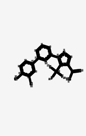 O=C(O)c1cnn(-c2cccc(-c3ccc(Cl)c(Cl)c3)n2)c1C(F)(F)F